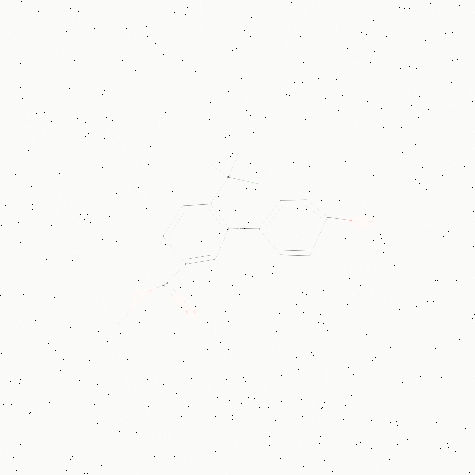 COC(=O)c1ccc(C(F)(F)F)c(-c2ccc(O)cc2)c1